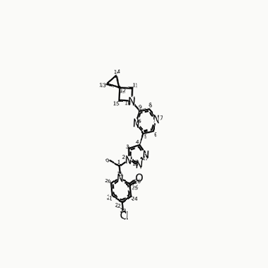 CC(n1cc(-c2cncc(N3CC4(CC4)C3)n2)nn1)n1ccc(Cl)cc1=O